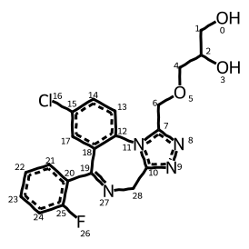 OCC(O)COCc1nnc2n1-c1ccc(Cl)cc1C(c1ccccc1F)=NC2